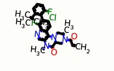 C=CC(=O)N1CC2C(=O)N(C)c3cnc4c(F)c(-c5c(F)cccc5C(C)(C)C)c(Cl)cc4c3N2CC1C